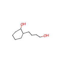 OCCCCC1CCCCC1O